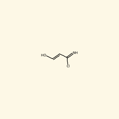 N=C(Cl)C=CO